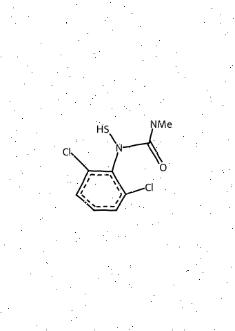 CNC(=O)N(S)c1c(Cl)cccc1Cl